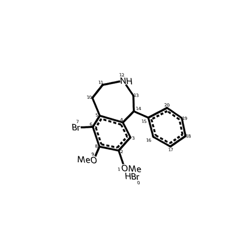 Br.COc1cc2c(c(Br)c1OC)CCNCC2c1ccccc1